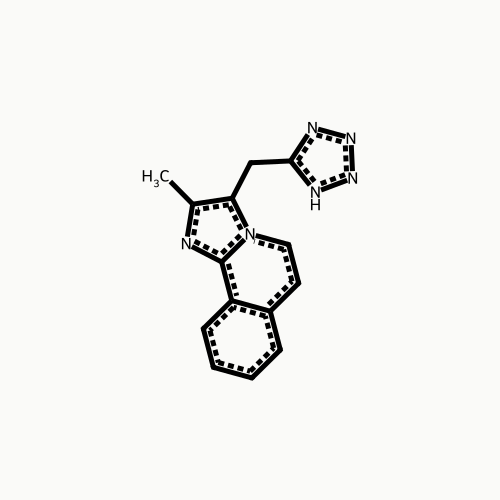 Cc1nc2c3ccccc3ccn2c1Cc1nnn[nH]1